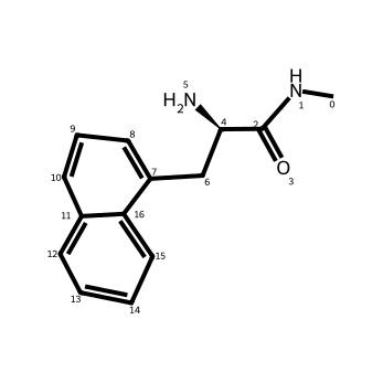 CNC(=O)[C@H](N)Cc1cccc2ccccc12